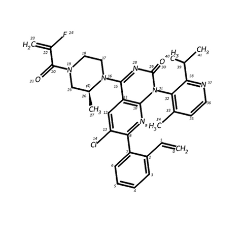 C=Cc1ccccc1-c1nc2c(cc1Cl)c(N1CCN(C(=O)C(=C)F)C[C@@H]1C)nc(=O)n2-c1c(C)ccnc1C(C)C